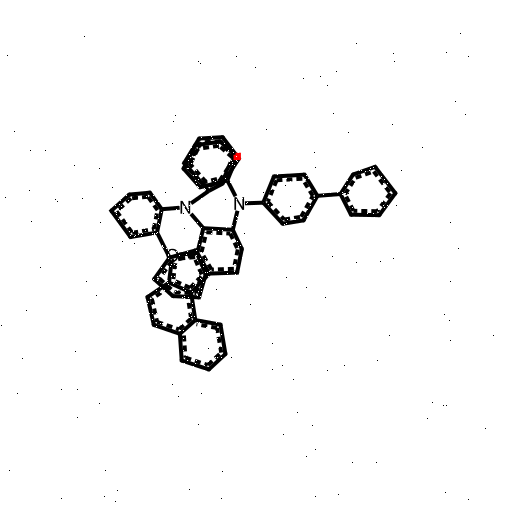 c1ccc(-c2ccc(N(c3ccccc3)c3ccc4c(oc5ccc6ccccc6c54)c3N(c3ccccc3)c3ccccc3-c3ccccc3)cc2)cc1